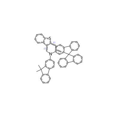 C=C/C=c1/sc2ccccc2/c1=C/N(c1ccc2c(c1)C(C)(C)c1ccccc1-2)c1ccc2c(c1)C1(c3ccccc3-c3ccccc31)c1ccccc1-2